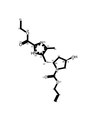 C=CCOC(=O)N1C[C@H](O)C[C@H]1Cc1[nH]c(C(=O)OCC)nc1C